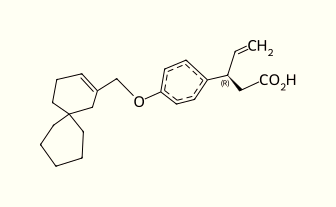 C=C[C@@H](CC(=O)O)c1ccc(OCC2=CCCC3(CCCCC3)C2)cc1